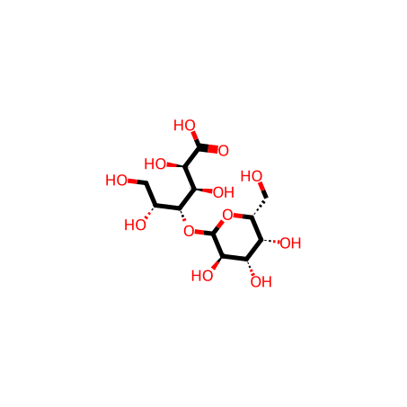 O=C(O)[C@H](O)[C@@H](O)[C@H](OC1O[C@H](CO)[C@H](O)[C@H](O)[C@H]1O)[C@H](O)CO